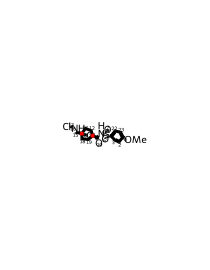 COc1ccc(S(=O)(=O)NC(=O)C23CCC(CNCl)(CC2)CC3)cc1